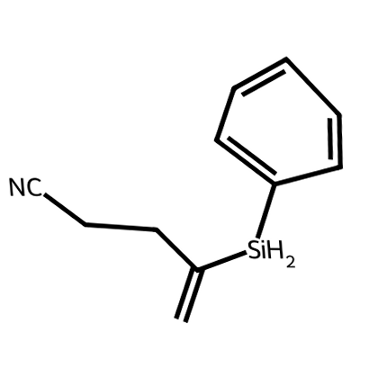 C=C(CCC#N)[SiH2]c1ccccc1